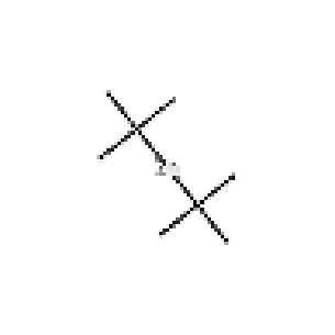 C[C](C)(C)[Zn][C](C)(C)C